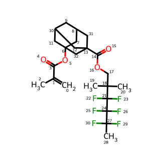 C=C(C)C(=O)OC12CC3CC(C1)CC(C(=O)OCC(C)(C)C(F)(F)C(F)(F)C(C)(F)F)(C3)C2